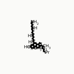 CC(C)CCC[C@@H](C)[C@H]1CCC2C3C[C@@H](NCCCNCCCCNCCCN)C4=C[C@@H](O)CC[C@]4(C)C3CC[C@@]21C